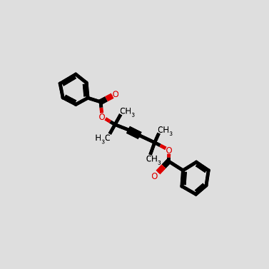 CC(C)(C#CC(C)(C)OC(=O)c1ccccc1)OC(=O)c1ccccc1